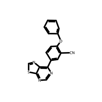 N#Cc1cc(-c2ncnc3scnc23)ccc1Oc1ccccc1